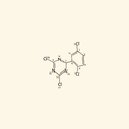 Clc1ccc(Cl)c(-c2nc(Cl)nc(Cl)n2)c1